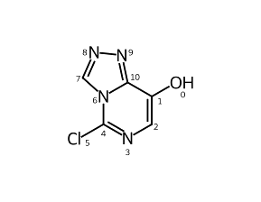 Oc1cnc(Cl)n2cnnc12